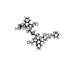 O=C(O)N(CCSSc1ccccn1)Cc1cc2c(c3ccccc13)C(CCl)CN2C(=O)C12CC(C(=O)N3C[C@@H](CCl)c4c3cc(OP(=O)(O)O)c3ccccc43)(C1)C2